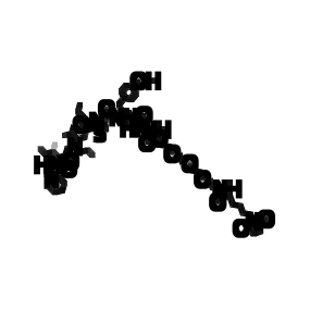 CCCO[C@H](C[C@H](C(C)C)N(CCC)CC(=O)[C@@H](NC(=O)[C@H]1CCCCN1C)[C@@H](C)CC)c1nc(C(=O)N[C@@H](Cc2ccc(O)cc2)C[C@H](C)C(=O)NNC(=O)OCCOCCOCCOCCNC(=O)CCCCCN2C(=O)C=CC2=O)cs1